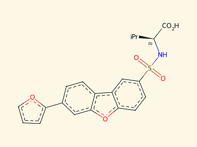 CC(C)[C@H](NS(=O)(=O)c1ccc2oc3cc(-c4ccco4)ccc3c2c1)C(=O)O